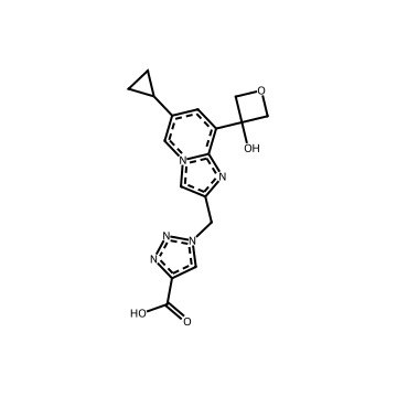 O=C(O)c1cn(Cc2cn3cc(C4CC4)cc(C4(O)COC4)c3n2)nn1